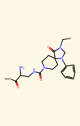 COC(=O)C(N)CNC(=O)N1CCC2(CC1)C(=O)N(CC(C)C)CN2c1ccccc1